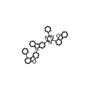 c1ccc(-c2nc(-c3ccc4c(c3)c3ccccc3n4-c3ccc4oc5cccc(-c6ccccc6)c5c4c3)nc(-c3cccc4c3oc3ccccc34)n2)cc1